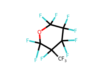 FC(F)(F)C1(F)C(F)(F)OC(F)(F)C(F)(F)C1(F)F